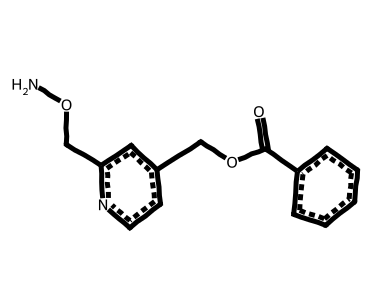 NOCc1cc(COC(=O)c2ccccc2)ccn1